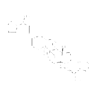 C/C(=C/[C@H]1CC[C@@]2(O)[C@@H]3CCC4CC(OCC(C)N5CCCC5)CC[C@]4(C)[C@H]3CC[C@]12C)C1OCCO1